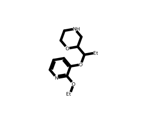 CCOc1ncccc1OC(CC)C1CNCCO1